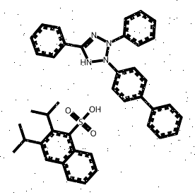 CC(C)c1cc2ccccc2c(S(=O)(=O)O)c1C(C)C.c1ccc(C2=NN(c3ccccc3)N(c3ccc(-c4ccccc4)cc3)N2)cc1